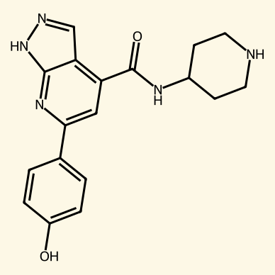 O=C(NC1CCNCC1)c1cc(-c2ccc(O)cc2)nc2[nH]ncc12